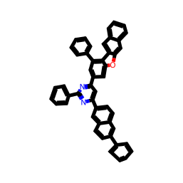 c1ccc(-c2ccc3cc(-c4cc(-c5cc(-c6ccccc6)c6c(c5)oc5cc7ccccc7cc56)nc(-c5ccccc5)n4)ccc3c2)cc1